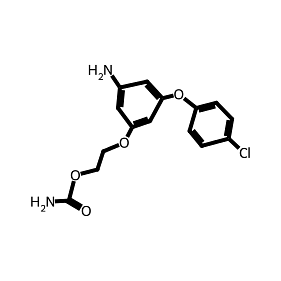 NC(=O)OCCOc1cc(N)cc(Oc2ccc(Cl)cc2)c1